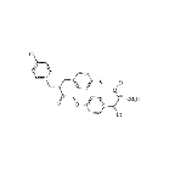 CCO[C@H](C(=O)O)C(CC)c1ccc(OCC(=O)N(Cc2ccc(Cl)cc2)Cc2ccc(Cl)cc2)cc1